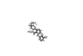 C/C(CO)=C1/C(N2CCC(C)(CN)CC2)=NC=CN1Cc1cccc(Cl)c1Cl